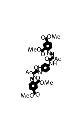 COC(=O)c1ccc(/N=N/C(C(C)=O)C(=O)Nc2ccc(NC(=O)C(/N=N/c3ccc(C(=O)OC)cc3C(=O)OC)C(C)=O)cc2)c(C(=O)OC)c1